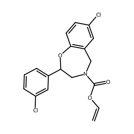 C=COC(=O)N1Cc2cc(Cl)ccc2OC(c2cccc(Cl)c2)C1